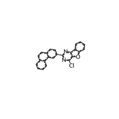 Clc1nc(-c2ccc3ccc4ccccc4c3c2)nc2c1oc1ccccc12